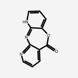 O=C1OC2=CC=CNC2=Nc2ncccc21